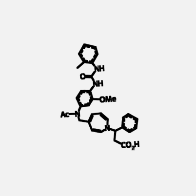 COc1cc(N(CC2=CC=CN(C(CC(=O)O)c3ccccc3)C=C2)C(C)=O)ccc1NC(=O)Nc1ccccc1C